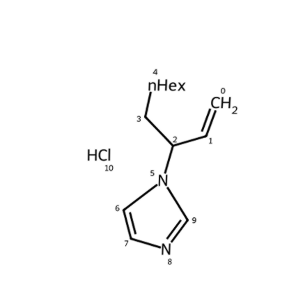 C=CC(CCCCCCC)n1ccnc1.Cl